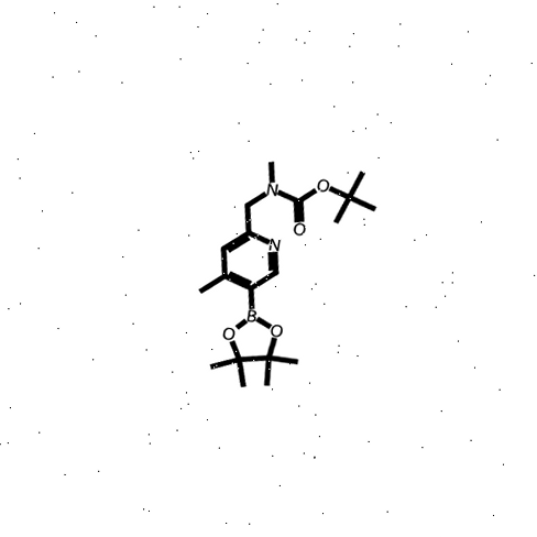 Cc1cc(CN(C)C(=O)OC(C)(C)C)ncc1B1OC(C)(C)C(C)(C)O1